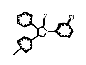 Cc1ccc(C2=C(c3ccccc3)C(=O)N(c3cccc(Cl)c3)C2)cc1